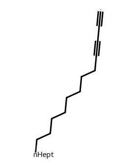 [C]#CC#CCCCCCCCCCCCCCCC